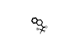 O=C(C1CCc2ccccc2C1)C(F)(F)Br